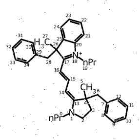 CCCN1CCC(C)(Cc2ccccc2)/C1=C\C=C\C1=[N+](CCC)c2ccccc2C1(C)Cc1ccccc1